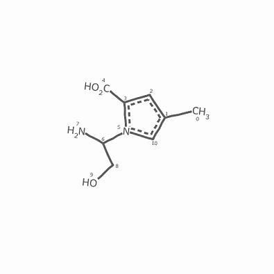 Cc1cc(C(=O)O)n(C(N)CO)c1